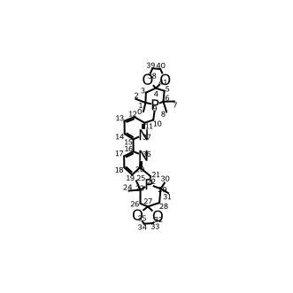 CC1(C)CC2(CC(C)(C)P1Cc1cccc(-c3cccc(CP4C(C)(C)CC5(CC4(C)C)OCCO5)n3)n1)OCCO2